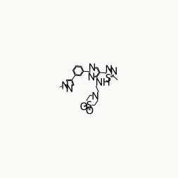 Cc1nnc(-c2cnc(-c3cccc(-c4cnn(C)c4)c3)nc2NCCN2CCS(=O)(=O)CC2)s1